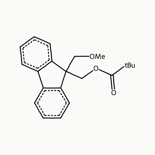 COCC1(COC(=O)C(C)(C)C)c2ccccc2-c2ccccc21